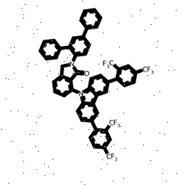 O=C1c2c(cccc2-n2c3ccc(-c4ccc(C(F)(F)F)cc4C(F)(F)F)cc3c3cc(-c4ccc(C(F)(F)F)cc4C(F)(F)F)ccc32)CN1c1ccc(-c2ccccc2)cc1-c1ccccc1